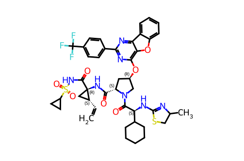 C=C[C@@H]1C[C@]1(NC(=O)[C@@H]1C[C@@H](Oc2nc(-c3ccc(C(F)(F)F)cc3)nc3c2oc2ccccc23)CN1C(=O)[C@@H](NC1=NC(C)CS1)C1CCCCC1)C(=O)NS(=O)(=O)C1CC1